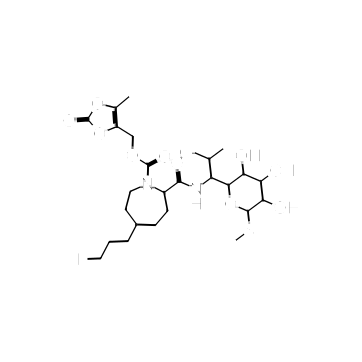 CSC1OC(C(NC(=O)C2CCC(CCCF)CCN2C(=O)OCc2oc(=O)oc2C)C(C)Cl)C(O)C(O)C1O